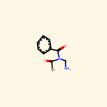 CCC(=O)N(CN)C(=O)c1ccccc1